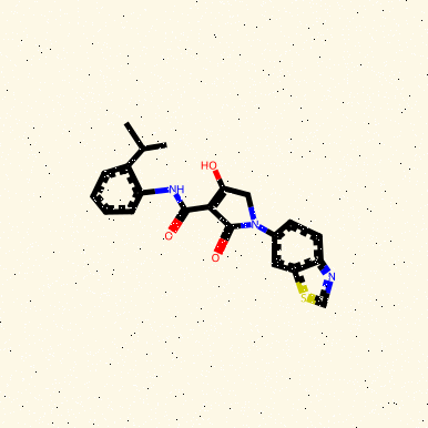 CC(C)c1ccccc1NC(=O)C1=C(O)CN(c2ccc3ncsc3c2)C1=O